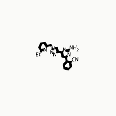 CCc1cccc(Cn2cc(-c3cc(-c4ccccc4C#N)nc(N)n3)nn2)n1